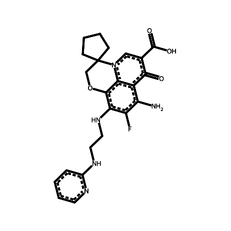 Nc1c(F)c(NCCNc2ccccn2)c2c3c1c(=O)c(C(=O)O)cn3C1(CCCC1)CO2